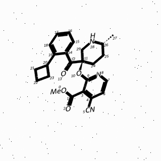 COC(=O)c1c(C#N)ccnc1O[C@]1(C(=O)c2ccccc2C2CCC2)CC[C@@H](C)NC1